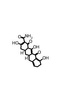 NC(=O)C1=C(O)C[C@@H]2C[C@@H]3CC4=CCCC(O)=C4C(=O)C3=C(O)C2C1=O